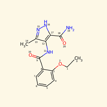 CCOc1ccccc1C(=O)Nc1c(C)n[nH]c1C(N)=O